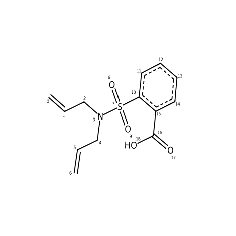 C=CCN(CC=C)S(=O)(=O)c1ccccc1C(=O)O